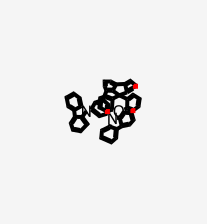 c1ccc2c(c1)Oc1ccccc1C21c2ccccc2-c2cccc(-c3cc(-n4c5ccccc5c5ccccc54)cc(-n4c5ccccc5c5ccccc54)c3)c21